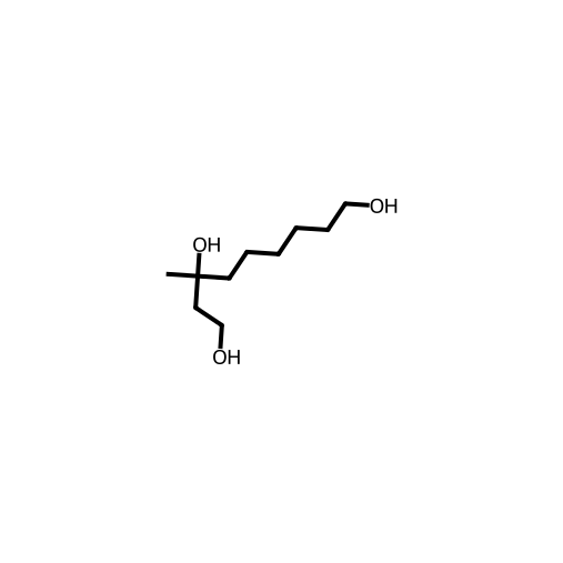 CC(O)(CCO)CCCCCCO